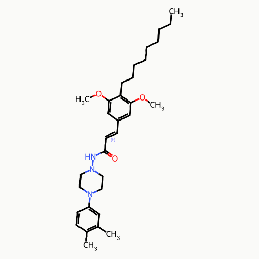 CCCCCCCCCc1c(OC)cc(/C=C/C(=O)NN2CCN(c3ccc(C)c(C)c3)CC2)cc1OC